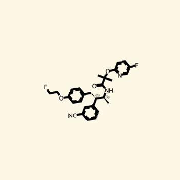 C[C@H](NC(=O)C(C)(C)Oc1ccc(F)cn1)[C@@H](Cc1ccc(OCCF)cc1)c1cccc(C#N)c1